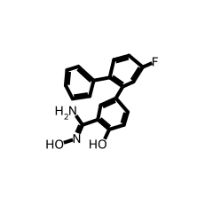 NC(=NO)c1cc(-c2cc(F)ccc2-c2ccccc2)ccc1O